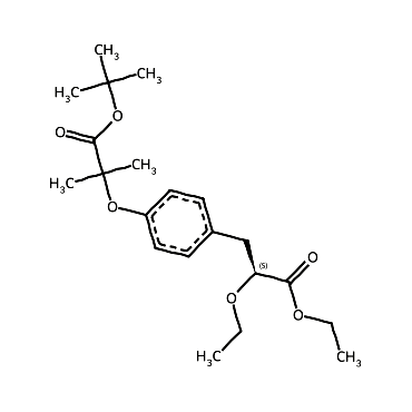 CCOC(=O)[C@H](Cc1ccc(OC(C)(C)C(=O)OC(C)(C)C)cc1)OCC